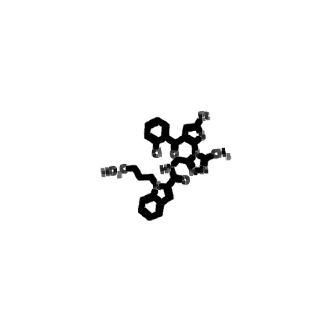 CCc1cc(C(=O)c2ccccc2Cl)c(-n2c(C)nnc2CNC(=O)c2cc3ccccc3n2CCCC(=O)O)s1